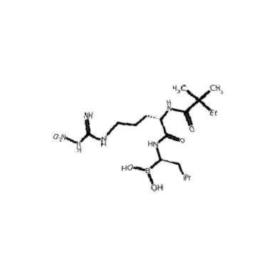 CCC(C)(C)C(=O)N[C@@H](CCCNC(=N)N[N+](=O)[O-])C(=O)N[C@@H](CC(C)C)B(O)O